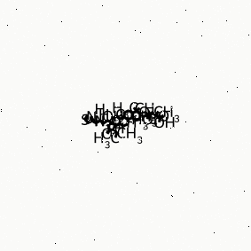 CC(C)C1=C2[C@H]3CC[C@@H]4[C@@]5(C)CC[C@H](OC(=O)CC(C)(C)C(=O)O)C(C)(C)C5CC[C@@]4(C)[C@]3(C)CC[C@@]2([C@@H](O)CNCc2cscn2)CC1=O